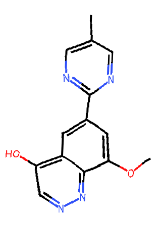 COc1cc(-c2ncc(C)cn2)cc2c(O)cnnc12